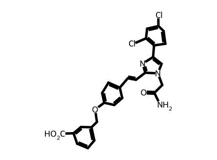 NC(=O)Cn1cc(-c2ccc(Cl)cc2Cl)nc1/C=C/c1ccc(OCc2cccc(C(=O)O)c2)cc1